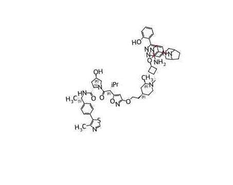 Cc1ncsc1-c1ccc([C@H](C)NC(=O)[C@@H]2C[C@@H](O)CN2C(=O)[C@@H](c2cc(OCC[C@@H]3CCN(C[C@H]4C[C@H](Oc5cc(N6C7CCC6CN(c6cc(-c8ccccc8O)nnc6N)C7)ccn5)C4)[C@H](C)C3)no2)C(C)C)cc1